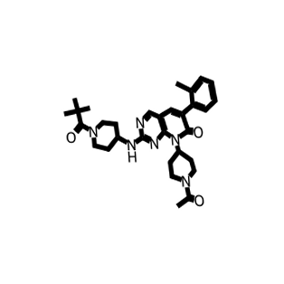 CC(=O)N1CCC(n2c(=O)c(-c3ccccc3C)cc3cnc(NC4CCN(C(=O)C(C)(C)C)CC4)nc32)CC1